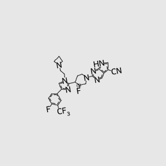 N#Cc1c[nH]c2nc(N3CCC(c4nc(-c5ccc(F)c(C(F)(F)F)c5)cn4CCN4CCC4)[C@H](F)C3)ncc12